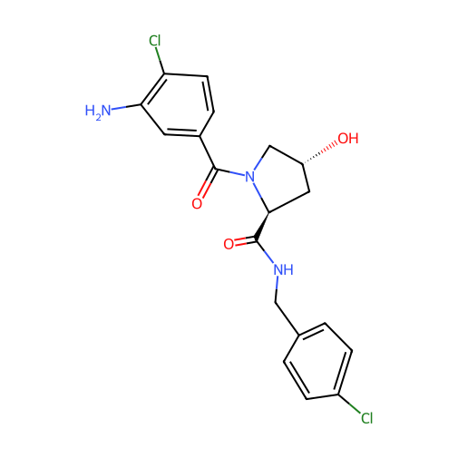 Nc1cc(C(=O)N2C[C@H](O)C[C@H]2C(=O)NCc2ccc(Cl)cc2)ccc1Cl